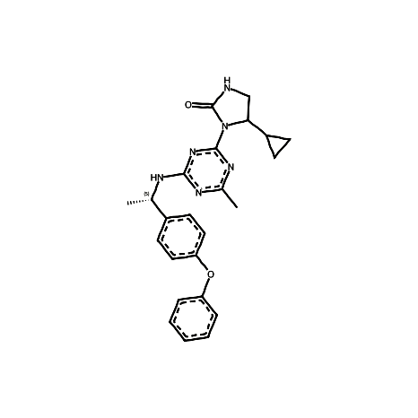 Cc1nc(N[C@@H](C)c2ccc(Oc3ccccc3)cc2)nc(N2C(=O)NCC2C2CC2)n1